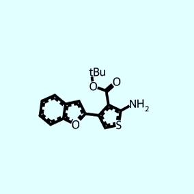 CC(C)(C)OC(=O)c1c(-c2cc3ccccc3o2)csc1N